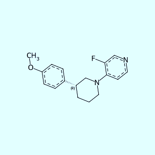 COc1ccc([C@H]2CCCN(c3ccncc3F)C2)cc1